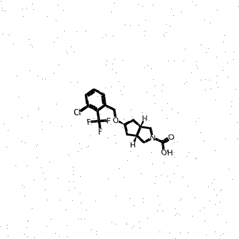 O=C(O)N1C[C@H]2C[C@H](OCc3cccc(Cl)c3C(F)(F)F)C[C@H]2C1